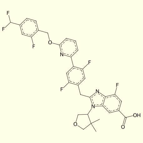 CC1(C)COCC1n1c(Cc2cc(F)c(-c3cccc(OCc4ccc(C(F)F)cc4F)n3)cc2F)nc2c(F)cc(C(=O)O)cc21